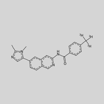 [2H]C([2H])([2H])c1ccc(C(=O)Nc2cc3cc(-c4cnc(C)n4C)ccc3cn2)cc1